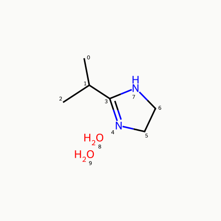 CC(C)C1=NCCN1.O.O